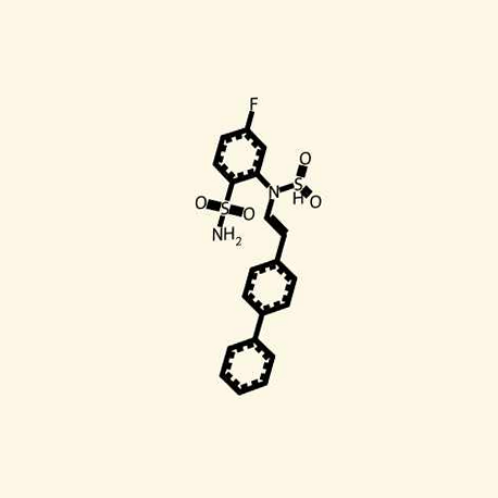 NS(=O)(=O)c1ccc(F)cc1N(C=Cc1ccc(-c2ccccc2)cc1)[SH](=O)=O